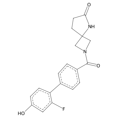 O=C1CCC2(CN(C(=O)c3ccc(-c4ccc(O)cc4F)cc3)C2)N1